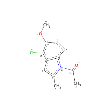 COc1ccc2c(cc(C)n2C(C)=O)c1Cl